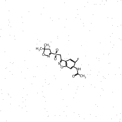 CC(=O)Nc1cc2onc(CS(=O)(=O)C3=NOC(C)(C)C3)c2cc1F